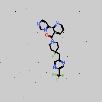 O=C(c1cccnc1-c1ccncn1)N1CCC(F)(Cc2cnc(C(F)(F)F)cn2)CC1